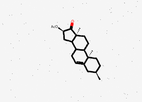 CC(=O)O[C@@H]1CC2C3CC=C4C[C@H](C)CC[C@]4(C)C3CC[C@]2(C)C1=O